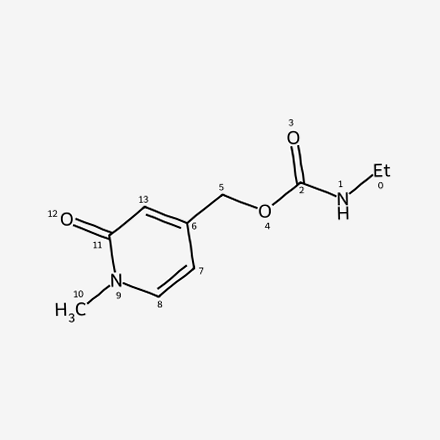 CCNC(=O)OCc1ccn(C)c(=O)c1